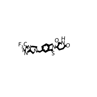 O=C1CCC(N2Cc3ccc(CN4CCn5c(nnc5C(F)(F)F)C4)cc3C2=S)C(=O)N1